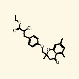 CCOC(=O)C(Cl)Cc1ccc(OCC2(C)CC(=O)c3c(C)cc(C)cc3O2)cc1